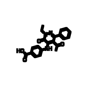 CCn1nc(-c2ccccc2)c(C(C)=O)c(Nc2ccc(C(=O)O)cc2)c1=O